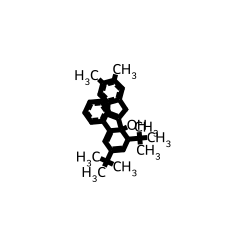 Cc1cc2c(cc1C)CC(C1(O)C(c3ccccc3)=CC(C(C)(C)C)=CC1C(C)(C)C)=C2